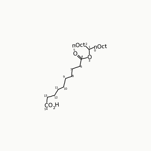 CCCCCCCCC(CCCCCCCC)OC(=O)CCCCCCCCC(=O)O